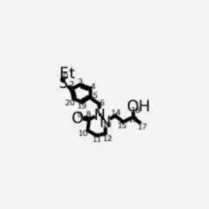 CCSc1ccc(CN2C(=O)CCCN2CCC(C)O)cc1